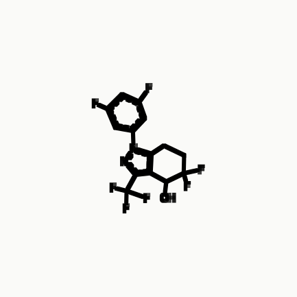 OC1c2c(C(F)(F)F)nn(-c3cc(F)cc(F)c3)c2CCC1(F)F